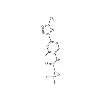 O=C(Nc1ccc(-c2noc(C(F)(F)F)n2)cc1F)C1CC1(F)F